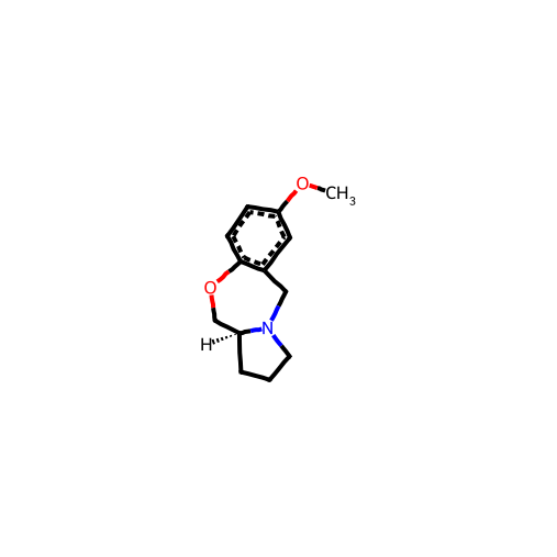 COc1ccc2c(c1)CN1CCC[C@H]1CO2